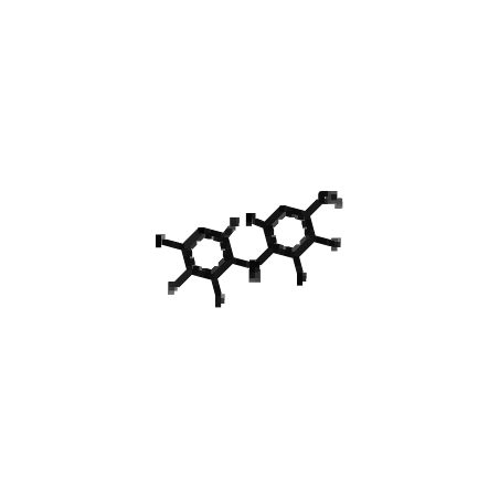 Cc1cc(F)c(Bc2c(F)cc(F)c(F)c2F)c(F)c1F